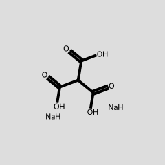 O=C(O)C(C(=O)O)C(=O)O.[NaH].[NaH]